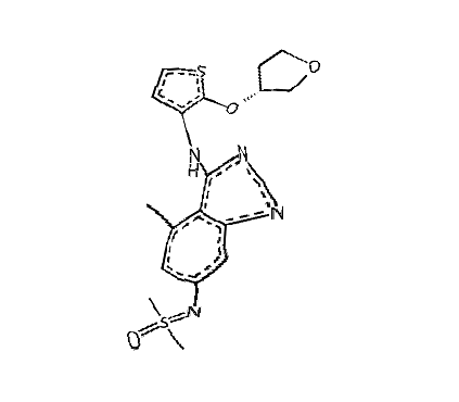 Cc1cc(N=S(C)(C)=O)cc2ncnc(Nc3ccsc3O[C@@H]3CCOC3)c12